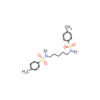 CCN(CCCCCN(CC)S(=O)(=O)c1ccc(C)cc1)S(=O)(=O)c1ccc(C)cc1